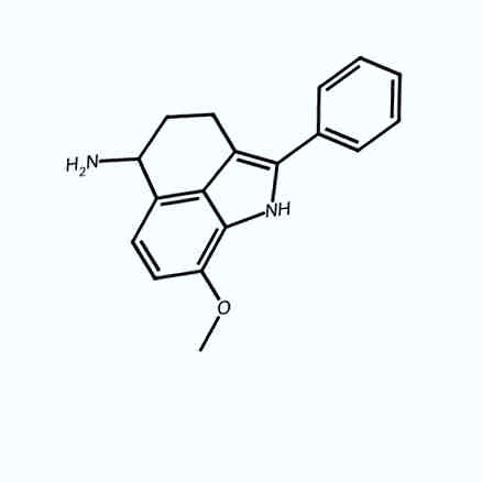 COc1ccc2c3c(c(-c4ccccc4)[nH]c13)CCC2N